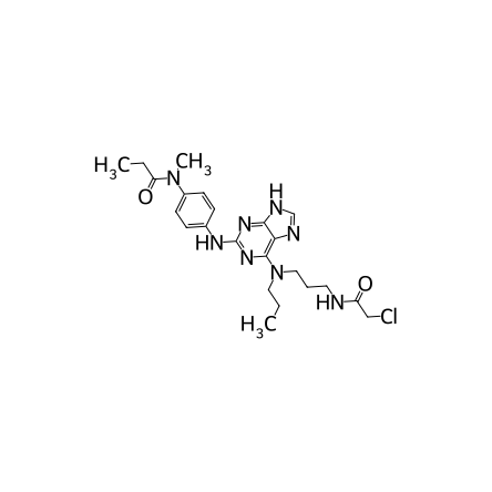 CCCN(CCCNC(=O)CCl)c1nc(Nc2ccc(N(C)C(=O)CC)cc2)nc2[nH]cnc12